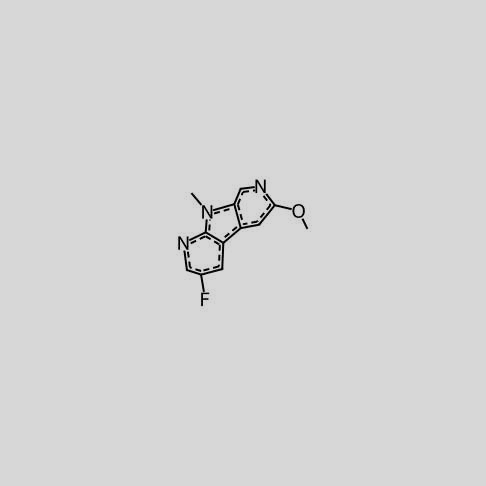 COc1cc2c3cc(F)cnc3n(C)c2cn1